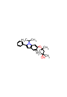 CC(C)n1c(-c2ccccc2)cc2ccc(OC(C)(C)CC(C)(C)O)cc21